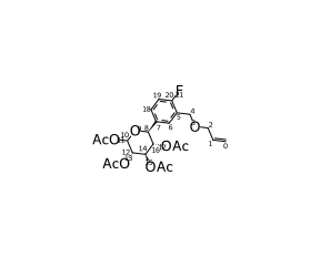 C=CCOCc1cc([C@@H]2OC(OC(C)=O)[C@@H](OC(C)=O)[C@H](OC(C)=O)[C@H]2OC(C)=O)ccc1F